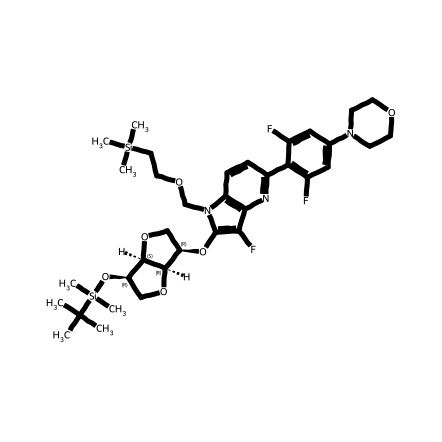 CC(C)(C)[Si](C)(C)O[C@@H]1CO[C@H]2[C@@H]1OC[C@H]2Oc1c(F)c2nc(-c3c(F)cc(N4CCOCC4)cc3F)ccc2n1COCC[Si](C)(C)C